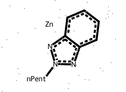 CCCCCn1nc2ccccc2n1.[Zn]